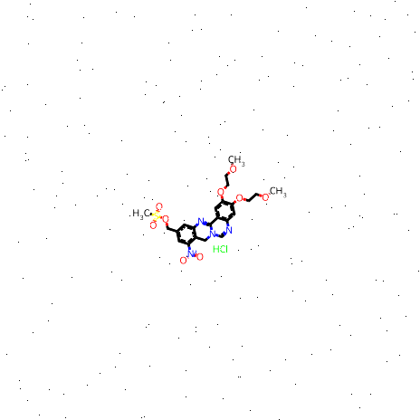 COCCOc1cc2c(cc1OCCOC)C1=Nc3cc(COS(C)(=O)=O)cc([N+](=O)[O-])c3CN1C=N2.Cl